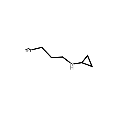 [CH2]CCCCCNC1CC1